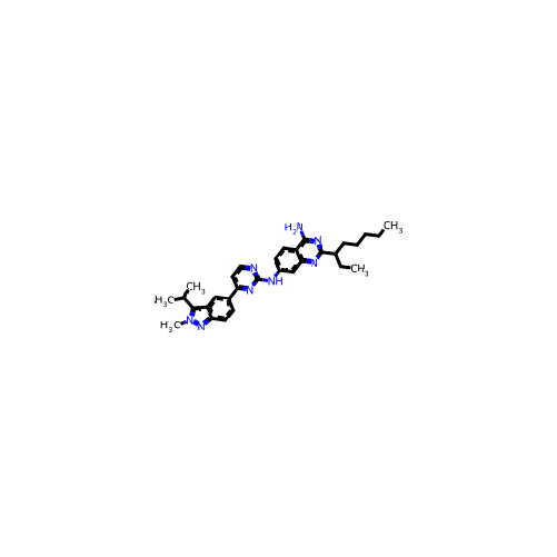 CCCCCC(CC)c1nc(N)c2ccc(Nc3nccc(-c4ccc5nn(C)c(C(C)C)c5c4)n3)cc2n1